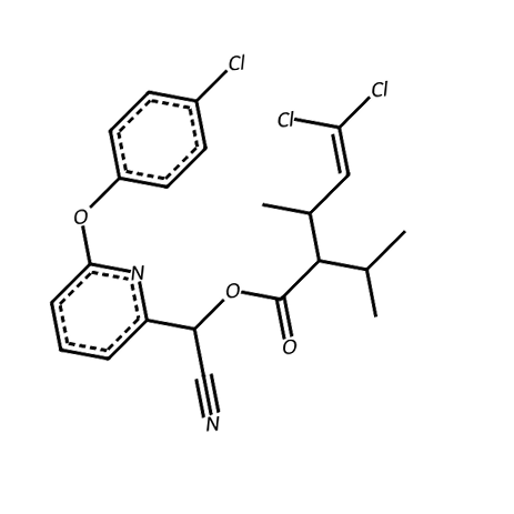 CC(C)C(C(=O)OC(C#N)c1cccc(Oc2ccc(Cl)cc2)n1)C(C)C=C(Cl)Cl